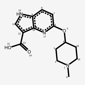 CN1CCC(Oc2ccc3[nH]cc(C(=O)O)c3n2)CC1